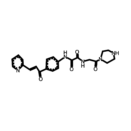 O=C(NCC(=O)N1CCNCC1)C(=O)Nc1ccc(C(=O)C=Cc2ccccn2)cc1